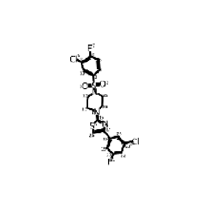 O=S(=O)(c1ccc(F)c(Cl)c1)N1CCN(c2nc(-c3cc(F)cc(Cl)c3)cs2)CC1